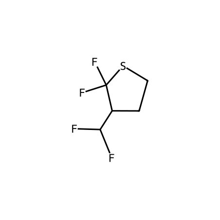 FC(F)C1CCSC1(F)F